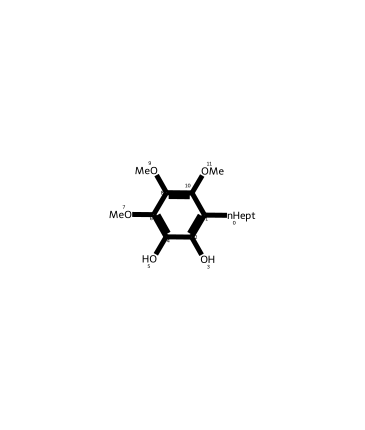 CCCCCCCc1c(O)c(O)c(OC)c(OC)c1OC